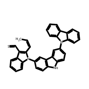 C/C=C\c1c(C=S)c2ccccc2n1-c1ccc2[nH]c3ccc(-n4c5ccccc5c5ccccc54)cc3c2c1